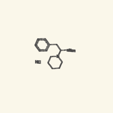 CCCCCCCCCC(Cc1ccccc1)N1CCCCC1.Cl